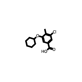 Cc1c(Cl)cc(C(=O)O)cc1OC1CCCCC1